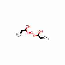 C=CC(O)OOOC(O)C=C